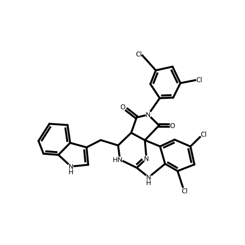 O=C1C2C(Cc3c[nH]c4ccccc34)NC3=NC2(C(=O)N1c1cc(Cl)cc(Cl)c1)c1cc(Cl)cc(Cl)c1N3